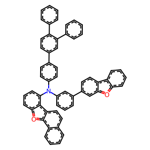 c1ccc(-c2ccc(-c3ccc(N(c4cccc(-c5ccc6c(c5)oc5ccccc56)c4)c4cccc5oc6c7ccccc7ccc6c45)cc3)cc2-c2ccccc2)cc1